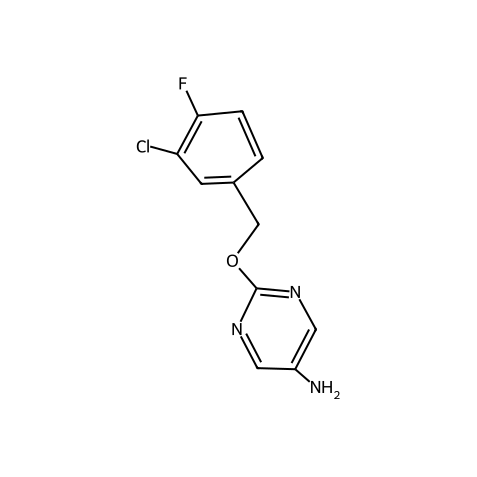 Nc1cnc(OCc2ccc(F)c(Cl)c2)nc1